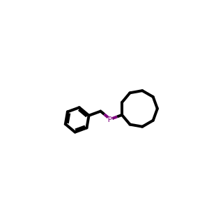 c1ccc(C[P]C2CCCCCCCC2)cc1